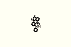 CC(C)c1cccc2c1C(=O)c1cccc(Nc3ccccc3)c1C2=O